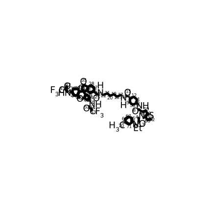 CCN(C(=O)Cn1c(C(=O)N[C@H]2CC[C@H](C(=O)NCCCCCCNC(=O)c3ccc4c(c3)C3(OC4=O)c4ccc(NC(=O)C(F)(F)F)cc4Oc4cc(NC(=O)C(F)(F)F)ccc43)CC2)cc2sccc21)c1cccc(C)c1